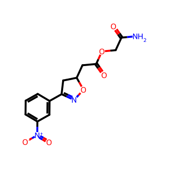 NC(=O)COC(=O)CC1CC(c2cccc([N+](=O)[O-])c2)=NO1